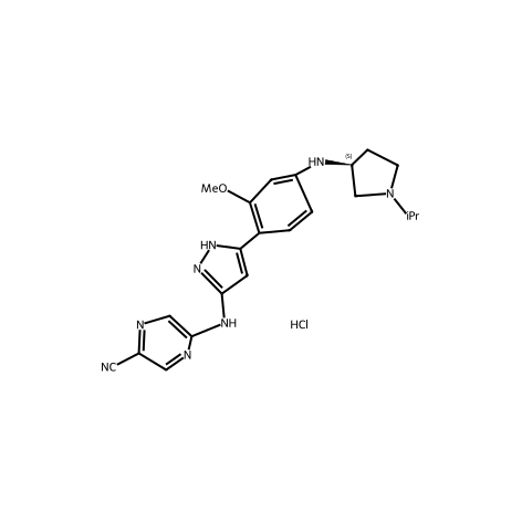 COc1cc(N[C@H]2CCN(C(C)C)C2)ccc1-c1cc(Nc2cnc(C#N)cn2)n[nH]1.Cl